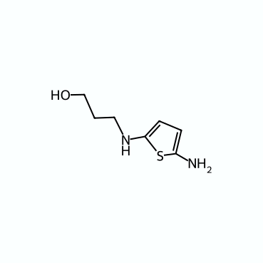 Nc1ccc(NCCCO)s1